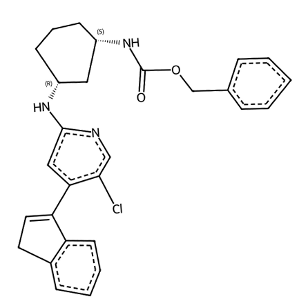 O=C(N[C@H]1CCC[C@@H](Nc2cc(C3=CCc4ccccc43)c(Cl)cn2)C1)OCc1ccccc1